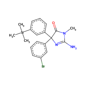 CN1C(=O)C(c2cccc(Br)c2)(c2cccc([Si](C)(C)C)c2)N=C1N